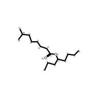 CCCCC(CCC)OC(=O)CCCCCC(C)C